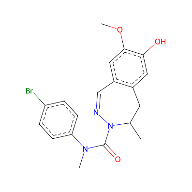 COc1cc2c(cc1O)CC(C)N(C(=O)N(C)c1ccc(Br)cc1)N=C2